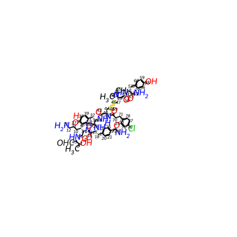 CC(O)C(C=O)NC(=O)[C@H](CCCCN)NC(=O)[C@@H](Cc1ccc(C(N)=O)cc1)NC(=O)[C@H](Cc1ccc(O)cc1)NC(=O)[C@@H](CSSC[C@@H](C(=O)N[C@H](Cc1ccc(O)cc1)C(N)=O)N(C)C)NC(=O)CCc1ccc(Cl)cc1